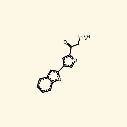 O=C(O)CC(=O)c1cc(-c2cc3ccccc3o2)co1